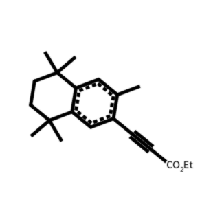 CCOC(=O)C#Cc1cc2c(cc1C)C(C)(C)CCC2(C)C